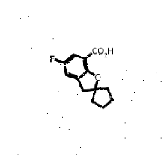 O=C(O)c1cc(F)cc2c1OC1(CCCC1)C2